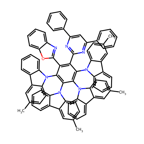 Cc1ccc2c(c1)c1ccccc1n2-c1c(-c2nc(-c3ccccc3)cc(-c3ccccc3)n2)c(-c2nc3ccccc3o2)c(-n2c3ccccc3c3cc(C)ccc32)c(-n2c3ccccc3c3cc(C)ccc32)c1-n1c2ccccc2c2cc(C)ccc21